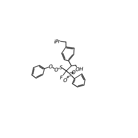 CC(C)Cc1ccc(C(CO)C(F)(SOOc2ccccc2)S(=O)(=O)c2ccccc2)cc1